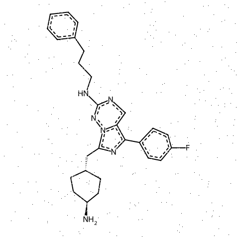 N[C@H]1CC[C@H](Cc2nc(-c3ccc(F)cc3)c3cnc(NCCCc4ccccc4)nn23)CC1